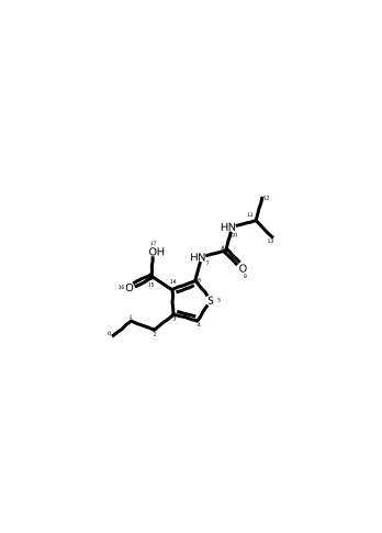 CCCc1csc(NC(=O)NC(C)C)c1C(=O)O